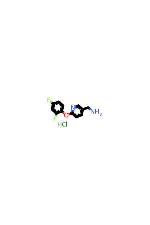 Cl.NCc1ccc(Oc2ccc(F)cc2F)nc1